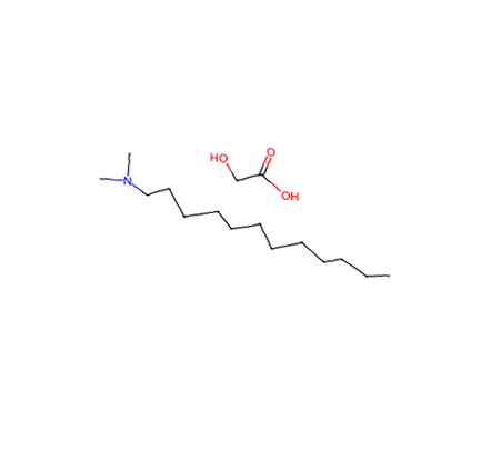 CCCCCCCCCCCCN(C)C.O=C(O)CO